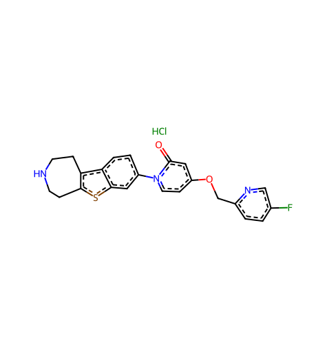 Cl.O=c1cc(OCc2ccc(F)cn2)ccn1-c1ccc2c3c(sc2c1)CCNCC3